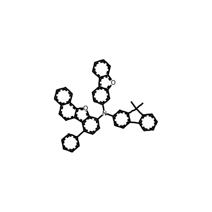 CC1(C)c2ccccc2-c2ccc(N(c3ccc4c(c3)oc3ccccc34)c3ccc(-c4ccccc4)c4c3oc3c5ccccc5ccc34)cc21